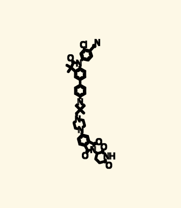 CC1(CN2CCN(c3ccc4c(c3)C(=O)N(C3CCC(=O)NC3=O)C4=O)CC2)CN(c2ccc(-c3ccc4c(c3)C(C)(C)C(=O)N4c3ccc(C#N)c(Cl)c3)cc2)C1